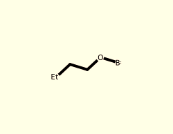 [B]OCCCC